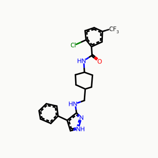 O=C(NC1CCC(CNc2n[nH]cc2-c2ccccc2)CC1)c1cc(C(F)(F)F)ccc1Cl